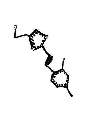 Cc1ccc(/C=C/c2nc(CCl)cs2)c(F)c1